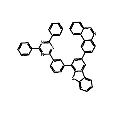 c1ccc(-c2nc(-c3ccccc3)nc(-c3cccc(-c4cc(-c5ccc6ncc7ccccc7c6c5)cc5c4sc4ccccc45)c3)n2)cc1